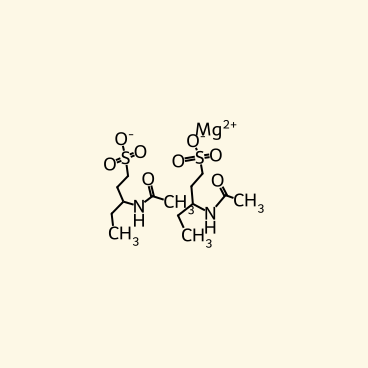 CCC(CCS(=O)(=O)[O-])NC(C)=O.CCC(CCS(=O)(=O)[O-])NC(C)=O.[Mg+2]